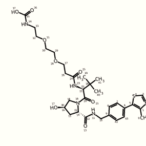 Cc1ncsc1-c1ccc(CNC(=O)[C@@H]2C[C@@H](O)CN2C(=O)[C@@H](NC(=O)CCOCCOCCNC(=O)O)C(C)(C)C)cc1